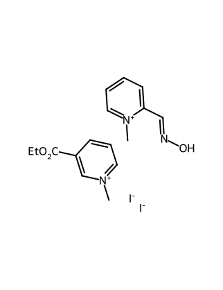 CCOC(=O)c1ccc[n+](C)c1.C[n+]1ccccc1C=NO.[I-].[I-]